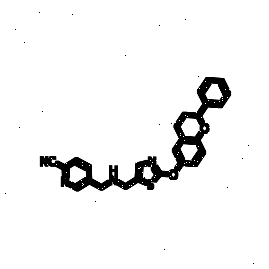 N#Cc1ccc(CNCc2cnc(Oc3ccc4c(c3)CCC(c3ccccc3)O4)s2)cn1